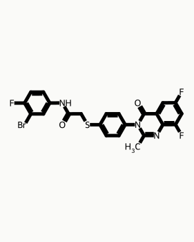 Cc1nc2c(F)cc(F)cc2c(=O)n1-c1ccc(SCC(=O)Nc2ccc(F)c(Br)c2)cc1